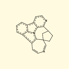 C1=Cc2c3n4c5c(nccc5c5cccc2c54)C2CCC3(C=N1)C2